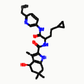 COCc1ccc(NC(=O)C(CCC2CC2)NC(=O)c2[nH]c3c(c2C)C(O)CC(C)(C)C3)cn1